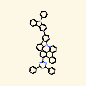 c1ccc(-c2nc(-c3ccccc3)nc(-c3cccc4c3c3ccccc3c3cccc(-n5c6ccccc6c6cc(-c7ccc8c(c7)c7ccccc7n8-c7ccccc7)ccc65)c34)n2)cc1